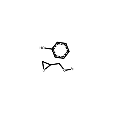 Oc1ccccc1.[2H]OCC1CO1